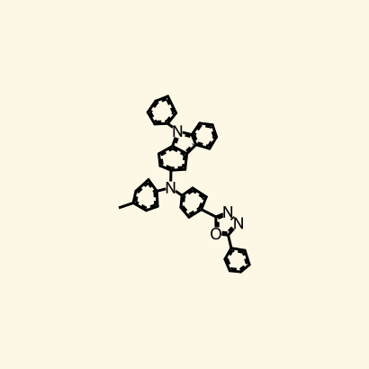 Cc1ccc(N(c2ccc(-c3nnc(-c4ccccc4)o3)cc2)c2ccc3c(c2)c2ccccc2n3-c2ccccc2)cc1